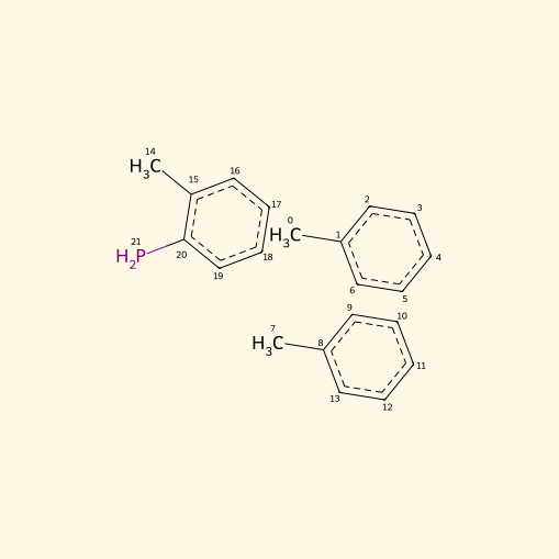 Cc1ccccc1.Cc1ccccc1.Cc1ccccc1P